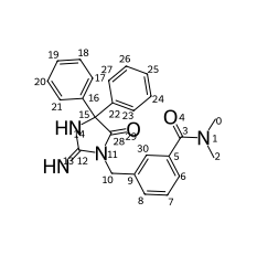 CN(C)C(=O)c1cccc(CN2C(=N)NC(c3ccccc3)(c3ccccc3)C2=O)c1